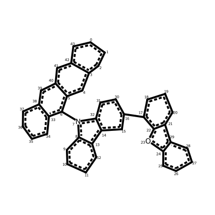 c1ccc2cc3c(-n4c5ccccc5c5cc(-c6cccc7c6oc6ccccc67)ccc54)c4ccccc4cc3cc2c1